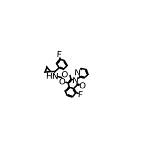 Cc1c(OC(=O)N[C@H](c2cccc(F)c2)C2CC2)c2cccc(F)c2c(=O)n1-c1ccccn1